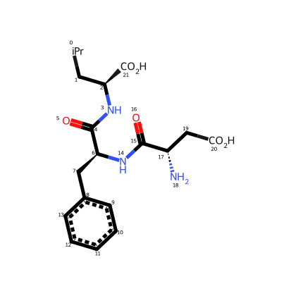 CC(C)C[C@H](NC(=O)[C@H](Cc1ccccc1)NC(=O)[C@@H](N)CC(=O)O)C(=O)O